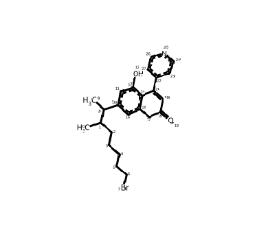 CC(CCCCCBr)C(C)c1cc(O)c2c(c1)CC(=O)C=C2c1ccncc1